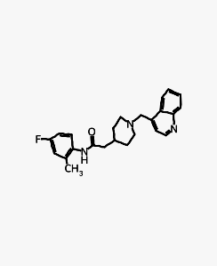 Cc1cc(F)ccc1NC(=O)CC1CCN(Cc2ccnc3ccccc23)CC1